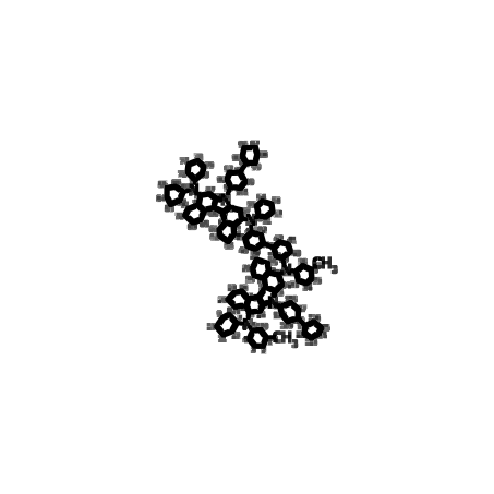 Cc1cccc(N(c2ccccc2)c2cc3c(c4ccccc24)c2c4ccccc4c(N(c4cccc(C)c4)c4cccc(-c5cccc(N(c6ccccc6)c6cc7c(c8ccccc68)c6c8ccccc8c(N(c8ccccc8)c8ccccc8)cc6n7-c6ccc(-c7ccccc7)cc6)c5)c4)cc2n3-c2ccc(-c3ccccc3)cc2)c1